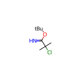 CC(C)(C)OC(=N)C(C)(C)Cl